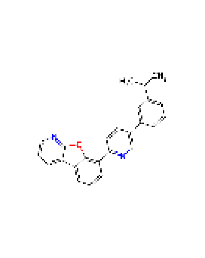 CC(C)c1cccc(-c2ccc(-c3cccc4c3oc3ncccc34)nc2)c1